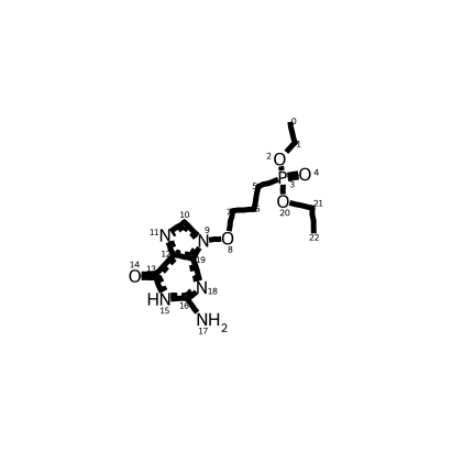 CCOP(=O)(CCCOn1cnc2c(=O)[nH]c(N)nc21)OCC